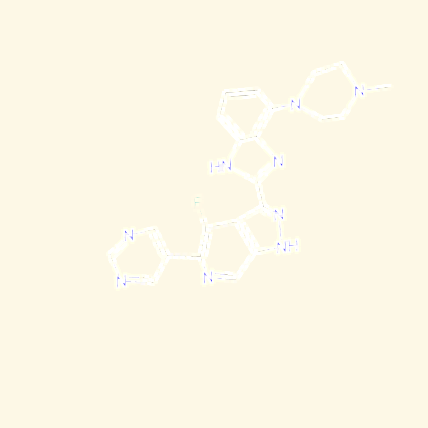 CN1CCN(c2cccc3[nH]c(-c4n[nH]c5cnc(-c6cncnc6)c(F)c45)nc23)CC1